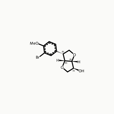 COc1ccc([C@@H]2CO[C@H]3[C@@H]2OC[C@@H]3O)cc1Br